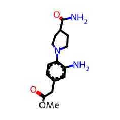 COC(=O)Cc1ccc(N2CCC(C(N)=O)CC2)c(N)c1